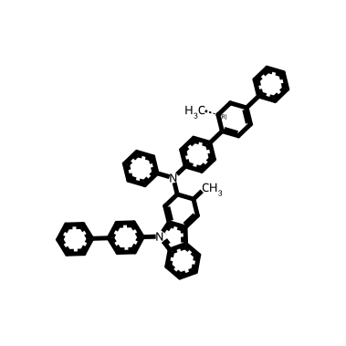 CC1C=c2c(n(-c3ccc(-c4ccccc4)cc3)c3ccccc23)=CC1N(c1ccccc1)c1ccc(C2=CC=C(c3ccccc3)C[C@H]2C)cc1